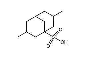 CC1CC2CC(C)CC(S(=O)(=O)O)(C1)C2